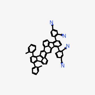 Cc1ccccc1-c1ccc(-c2ccccc2C)c2c3cc4c(cc5c6c(-c7ccc(C#N)cc7C#N)ccc(-c7ccc(C#N)cc7C#N)c6c6cccc4c65)c4cccc(c12)c43